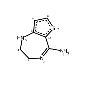 NC1=NCCNc2ccsc21